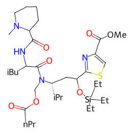 CCCC(=O)OCN(C(=O)C(NC(=O)C1CCCCN1C)C(C)CC)[C@H](CC(O[Si](CC)(CC)CC)c1nc(C(=O)OC)cs1)C(C)C